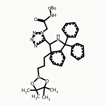 CCCCNC(=O)Cn1nnnc1C(CCCCB1OC(C)(C)C(C)(C)O1)NC(c1ccccc1)(c1ccccc1)c1ccccc1